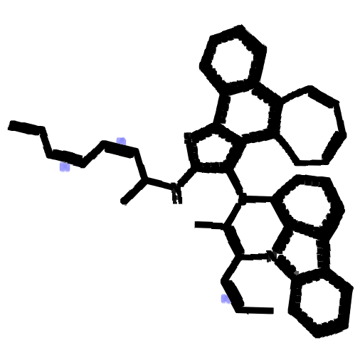 C=C/C=C\C=C/C(C)Nc1sc2c(c3c(c4ccccc42)C=CC=CC3)c1B1C(C)=C(/C=C\C)n2c3ccccc3c3cccc1c32